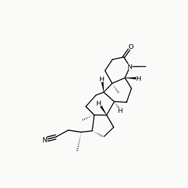 C[C@H](CC#N)[C@H]1CC[C@H]2[C@@H]3CC[C@H]4N(C)C(=O)CC[C@]4(C)[C@H]3CC[C@]12C